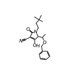 CC(OCc1ccccc1)C1C(O)=C(C#N)C(=O)N1CCC(C)(C)C